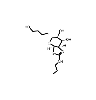 CCCNC1=N[C@@H]2[C@@H](O)[C@H](O)[C@@H](CCCCO)O[C@@H]2S1